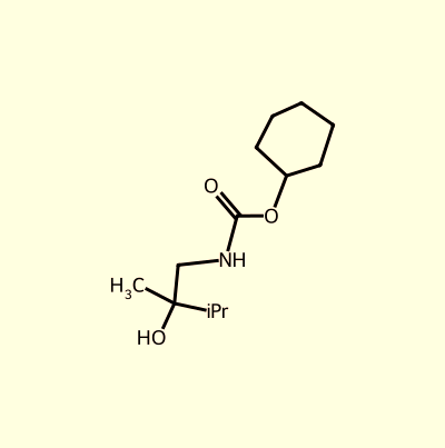 CC(C)C(C)(O)CNC(=O)OC1CCCCC1